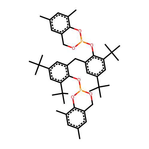 Cc1cc(C)c2c(c1)COP(Oc1c(Cc3cc(C(C)(C)C)cc(C(C)(C)C)c3OP3OCc4cc(C)cc(C)c4O3)cc(C(C)(C)C)cc1C(C)(C)C)O2